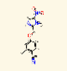 Cc1cc(OCc2ncc([N+](=O)[O-])n2C)ccc1C#N